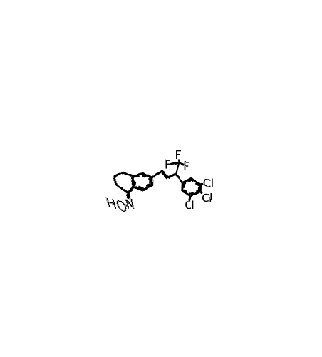 ON=C1CCCc2cc(C=CC(c3cc(Cl)c(Cl)c(Cl)c3)C(F)(F)F)ccc21